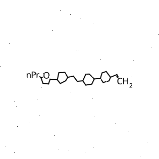 C=CC1CCC(C2CCC(CCC3CCC(C4CCC(CCC)O4)CC3)CC2)CC1